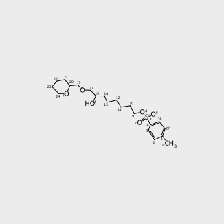 Cc1ccc(S(=O)(=O)OCCCCCCC(O)COCC2[C]CCCO2)cc1